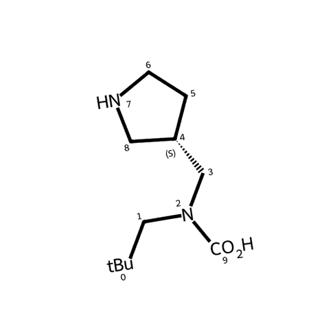 CC(C)(C)CN(C[C@H]1CCNC1)C(=O)O